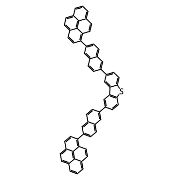 c1cc2ccc3ccc(-c4ccc5cc(-c6ccc7sc8ccc(-c9ccc%10cc(-c%11ccc%12ccc%13cccc%14ccc%11c%12c%13%14)ccc%10c9)cc8c7c6)ccc5c4)c4ccc(c1)c2c34